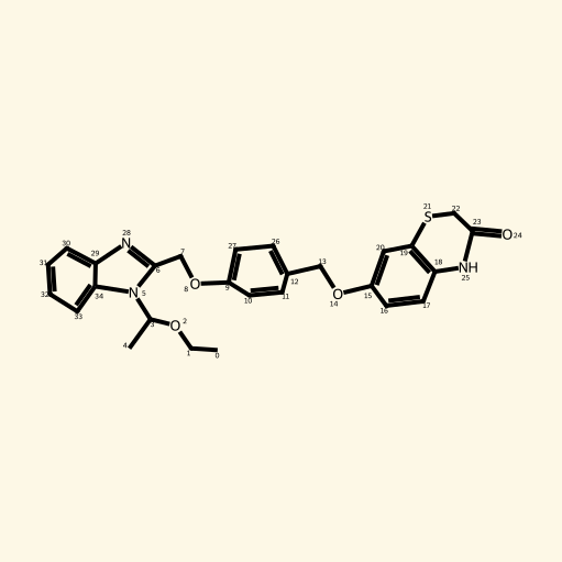 CCOC(C)n1c(COc2ccc(COc3ccc4c(c3)SCC(=O)N4)cc2)nc2ccccc21